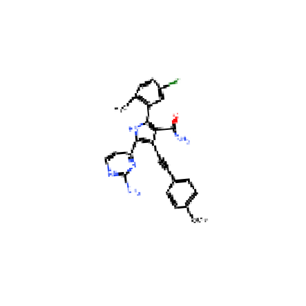 COc1ccc(C#Cc2c(-c3ccnc(N)n3)[nH]c(-c3cc(Cl)ccc3C)c2C(N)=O)cc1